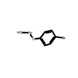 OPOc1ccc(Br)cc1